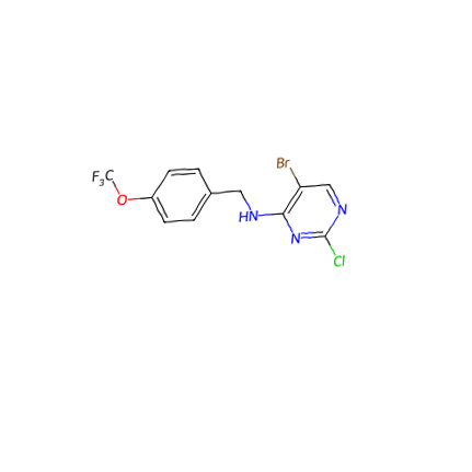 FC(F)(F)Oc1ccc(CNc2nc(Cl)ncc2Br)cc1